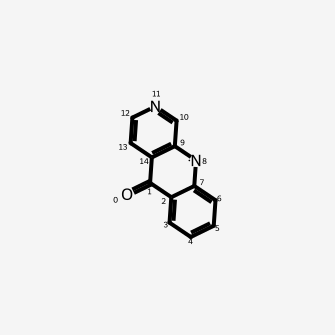 O=C1c2ccccc2[N]c2cnccc21